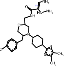 Cc1nc(C2CCC(N3CC(CNC(=O)/C(=C/N)NN)OCC3Cc3ccc(Cl)cc3)CC2)sc1C